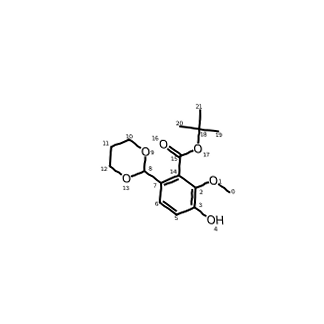 COc1c(O)ccc(C2OCCCO2)c1C(=O)OC(C)(C)C